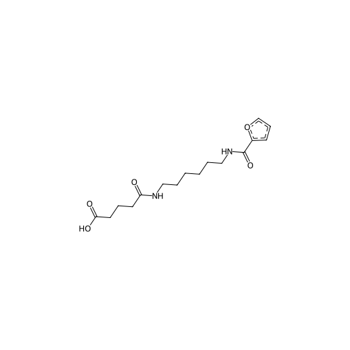 O=C(O)CCCC(=O)NCCCCCCNC(=O)c1ccco1